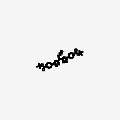 CC(C)(C)OC(=O)N1CCC(n2cc(C(N=[N+]=[N-])c3cn(C4CCN(C(=O)OC(C)(C)C)CC4)nn3)nn2)CC1